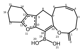 C=C1CC/C=C\CC2Cc3c(oc4c3CCCC4)C(B(O)O)=C2O1